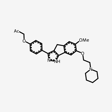 COc1cc2c(cc1OCCN1CCCCC1)-c1[nH]nc(-c3ccc(OCC(C)=O)cc3)c1C2